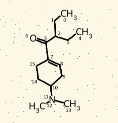 CCC(CC)C(=O)C1=CCC(N(C)C)CC1